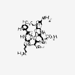 CC[C@H](C)[C@H](NC(=O)[C@H](CCCCN)NC(=O)[C@@H]1CCCN1)C(=O)N[C@@H](CC(=O)O)C(=O)N[C@@H](CC(N)=O)C(=O)NCC(=O)O